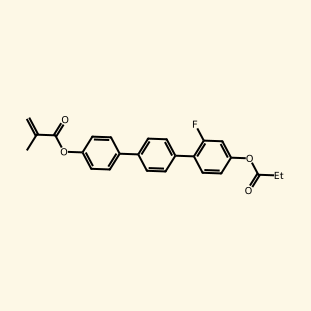 C=C(C)C(=O)Oc1ccc(-c2ccc(-c3ccc(OC(=O)CC)cc3F)cc2)cc1